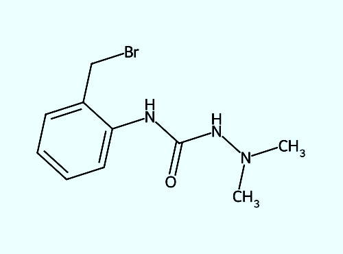 CN(C)NC(=O)Nc1ccccc1CBr